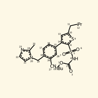 CCCCOC(=O)NS(=O)(=O)c1sc(CC(C)C)cc1-c1ccc(Cn2ccnc2C)c(C#N)c1